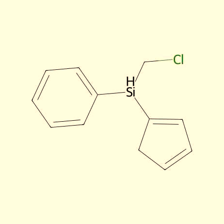 ClC[SiH](C1=CC=CC1)c1ccccc1